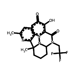 Cc1cccc(C2(C)CCCC3N(CC(F)(F)F)C(=O)c4c(O)c(=O)ccn4N32)n1